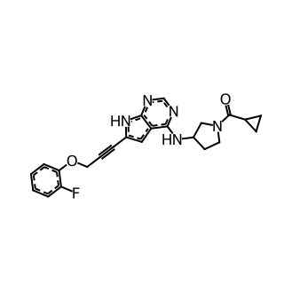 O=C(C1CC1)N1CCC(Nc2ncnc3[nH]c(C#CCOc4ccccc4F)cc23)C1